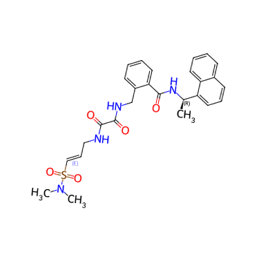 C[C@@H](NC(=O)c1ccccc1CNC(=O)C(=O)NC/C=C/S(=O)(=O)N(C)C)c1cccc2ccccc12